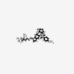 Cc1ccc(S(=O)(=O)N2c3cc4ccn(COCC[Si](C)(C)C)c4nc3O[C@@H]3CCC[C@H]32)cc1